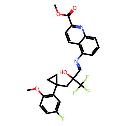 COC(=O)c1ccc2c(/N=C/C(O)(CC3(c4cc(F)ccc4OC)CC3)C(F)(F)F)cccc2n1